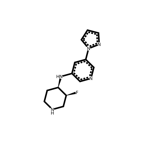 F[C@H]1CNCC[C@H]1Nc1cncc(-n2cccn2)c1